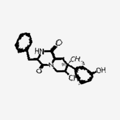 CC1CN2C(=O)C(Cc3ccccc3)NC(=O)C2C[C@@]1(C)c1cccc(O)c1